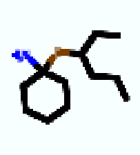 CCCC(CC)SC1(N)CCCCC1